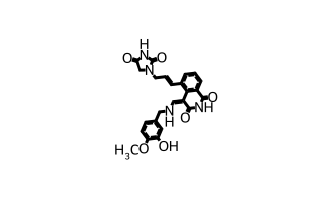 COc1ccc(CNC=C2C(=O)NC(=O)c3cccc(C=CCN4CC(=O)NC4=O)c32)cc1O